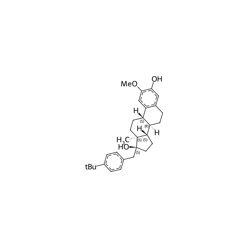 COc1cc2c(cc1O)CC[C@@H]1[C@@H]2CC[C@@]2(C)[C@H]1CC[C@]2(O)Cc1ccc(C(C)(C)C)cc1